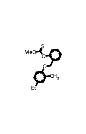 CCc1ccc(OCc2ccccc2OC(=S)OC)c(C)c1